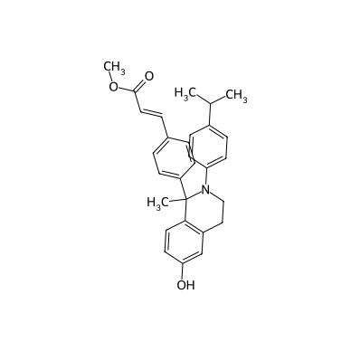 COC(=O)C=Cc1ccc(C2(C)c3ccc(O)cc3CCN2c2ccc(C(C)C)cc2)cc1